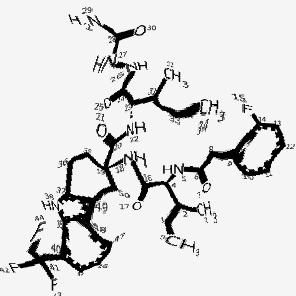 CCC(C)[C@H](NC(=O)Cc1ccccc1F)C(=O)N[C@]1(C(=O)N[C@H](C(=O)NNC(N)=O)C(C)CC)CCc2[nH]c3c(C(F)(F)F)cccc3c2C1